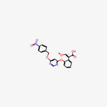 CO/C=C(/C(=O)O)c1ccccc1Oc1cc(OCc2ccc([N+](=O)[O-])cc2)ncn1